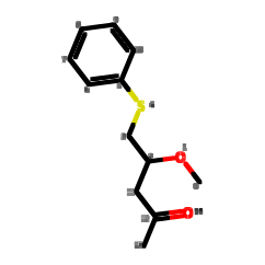 COC(CSc1ccccc1)CC(C)=O